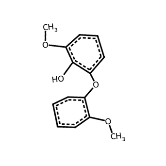 COc1ccccc1Oc1cccc(OC)c1O